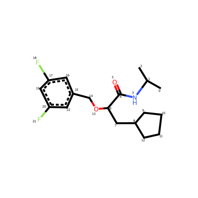 CC(C)NC(=O)C(CC1CCCC1)OCc1cc(F)cc(F)c1